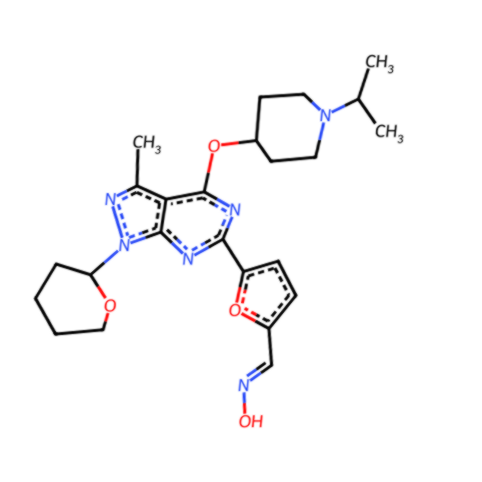 Cc1nn(C2CCCCO2)c2nc(-c3ccc(C=NO)o3)nc(OC3CCN(C(C)C)CC3)c12